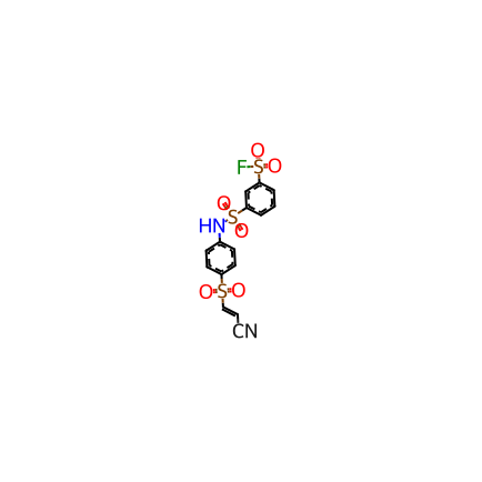 N#CC=CS(=O)(=O)c1ccc(NS(=O)(=O)c2cccc(S(=O)(=O)F)c2)cc1